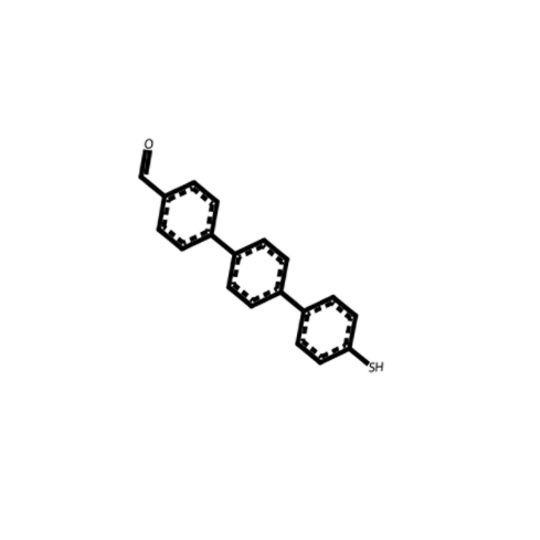 O=Cc1ccc(-c2ccc(-c3ccc(S)cc3)cc2)cc1